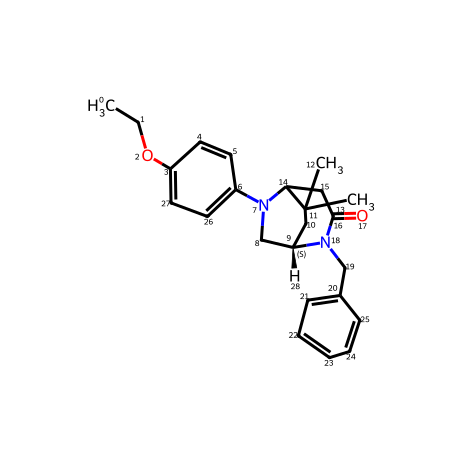 CCOc1ccc(N2C[C@@H]3CC(C)(C)C2CC(=O)N3Cc2ccccc2)cc1